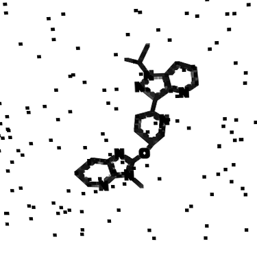 CC(C)n1nc(-c2ccc(Oc3nc4cccnc4n3C)cn2)c2ncccc21